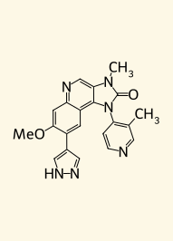 COc1cc2ncc3c(c2cc1-c1cn[nH]c1)n(-c1ccncc1C)c(=O)n3C